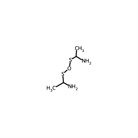 CC(N)SOSC(C)N